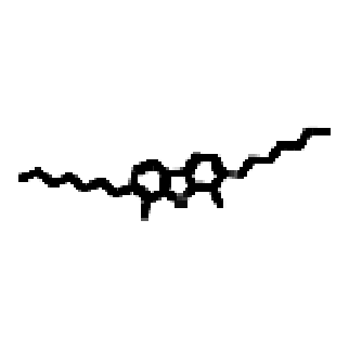 CCCCCCCc1ccc2c(oc3c(C)c(CCCCCCC)ccc32)c1C